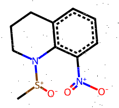 C[S+]([O-])N1CCCc2cccc([N+](=O)[O-])c21